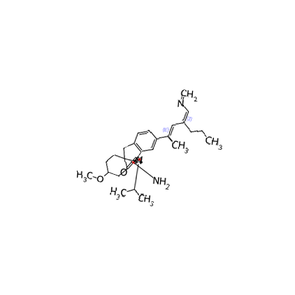 C=N/C=C(\C=C(/C)c1ccc2c(c1)C1(N=C(N)N(C(C)C)C1=O)C1(CCC(OC)CC1)C2)CCC